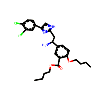 CCCCOC(=O)c1cc(C(N)Cc2nc(-c3ccc(Cl)c(Cl)c3)c[nH]2)ccc1OCCCC